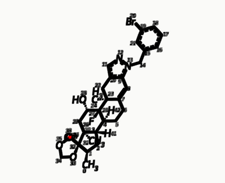 C[C@@H]1C[C@H]2[C@@H]3CCC4=Cc5c(cnn5Cc5cccc(Br)c5)C[C@]4(C)[C@@]3(F)[C@@H](O)C[C@]2(C)[C@]12OCOC21COCO1